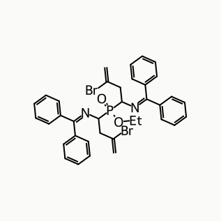 C=C(Br)CC(N=C(c1ccccc1)c1ccccc1)P(=O)(OCC)C(CC(=C)Br)N=C(c1ccccc1)c1ccccc1